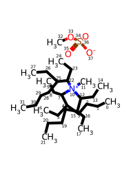 CCCCC(CC)C(CC)[N+](C)(C(CC)C(CC)CCCC)C(CC)C(CC)CCCC.COS(=O)(=O)[O-]